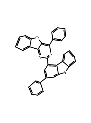 c1ccc(-c2cc(-c3nc(-c4ccccc4)c4oc5ccccc5c4n3)c3c(c2)sc2ccccc23)cc1